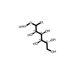 CCCCCCOC(CC)[C@H](O)[C@@H](O)[C@H](O)[C@H](O)CO